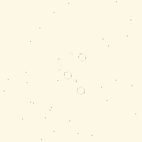 CCC(=NNC(=O)c1ccc(NCc2cccc(F)c2)cn1)C1CCN(Cc2ccccc2Cl)CC1